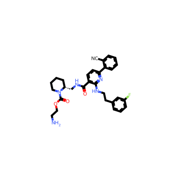 N#Cc1ccccc1-c1ccc(C(=O)NC[C@H]2CCCCN2C(=O)OCCN)c(NCCc2cccc(F)c2)n1